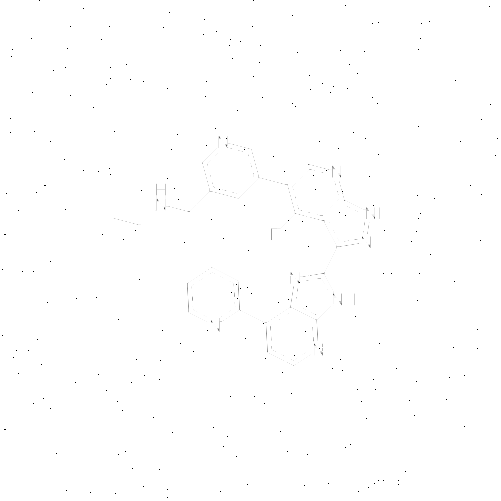 CCNCc1cncc(-c2cnc3[nH]nc(-c4nc5c(-c6ccccn6)ccnc5[nH]4)c3c2F)c1